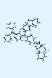 C1=CCCC(n2c3ccccc3c3ccc(N(c4ccc(-c5nc6ccc7ccccc7c6o5)cc4)c4ccc5sc6ccccc6c5c4)cc32)=C1